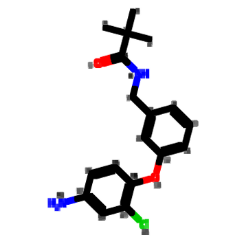 CC(C)(C)C(=O)NCc1cccc(Oc2ccc(N)cc2Cl)c1